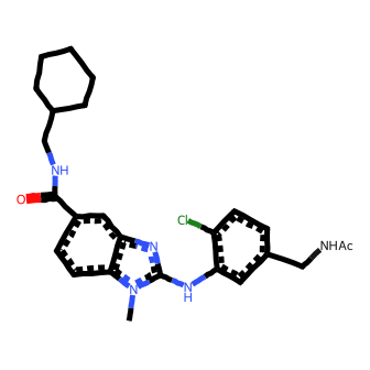 CC(=O)NCc1ccc(Cl)c(Nc2nc3cc(C(=O)NCC4CCCCC4)ccc3n2C)c1